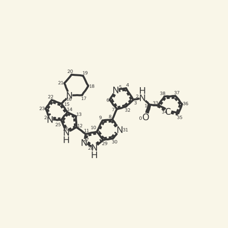 O=C(Nc1cncc(-c2cc3c(-c4cc5c(N6CCCCC6)ccnc5[nH]4)n[nH]c3cn2)c1)c1ccccc1